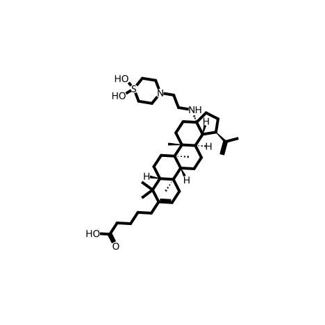 C=C(C)[C@@H]1CC[C@]2(NCCN3CCS(O)(O)CC3)CC[C@]3(C)[C@H](CC[C@@H]4[C@@]5(C)CC=C(CCCCC(=O)O)C(C)(C)[C@@H]5CC[C@]43C)[C@@H]12